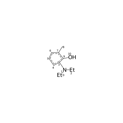 CCN(CC)c1cccc(C)c1O